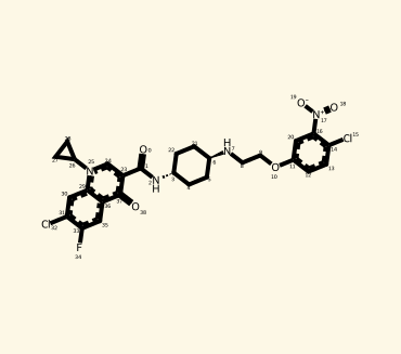 O=C(N[C@H]1CC[C@H](NCCOc2ccc(Cl)c([N+](=O)[O-])c2)CC1)c1cn(C2CC2)c2cc(Cl)c(F)cc2c1=O